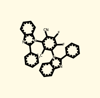 N#Cc1c(F)c(F)c(-n2c(-c3ccccc3)nc3ccccc32)c(C(F)(F)F)c1-n1c(-c2ccccc2)nc2ccccc21